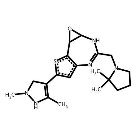 CC1=C(c2cc3c(s2)C2OC2NC(CN2CCCC2(C)C)=N3)CN(C)N1